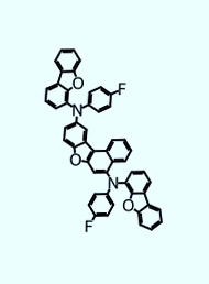 Fc1ccc(N(c2ccc3oc4cc(N(c5ccc(F)cc5)c5cccc6c5oc5ccccc56)c5ccccc5c4c3c2)c2cccc3c2oc2ccccc23)cc1